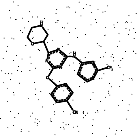 N#Cc1ccc(Oc2nc(Nc3cccc(C(F)(F)F)c3)nc(C3CNCCO3)n2)cc1